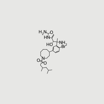 CC(C)CC(C)CS(=O)(=O)N1CCCCC(c2ccc(Br)c(C(C)(N)C(O)C3=COC(N)N3)c2)CC1